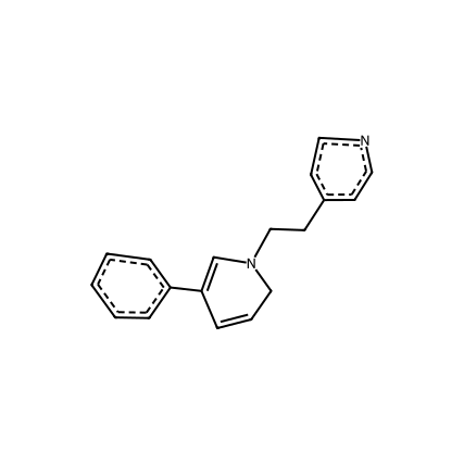 C1=CC(c2ccccc2)=CN(CCc2ccncc2)C1